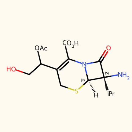 CC(=O)OC(CO)C1=C(C(=O)O)N2C(=O)[C@@](N)(C(C)C)[C@H]2SC1